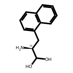 N[C@@H](Cc1cccc2c1C=C=C=C2)C(O)O